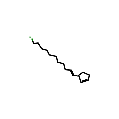 BrCCCCCCCCCC=C[C@@H]1C=CCC1